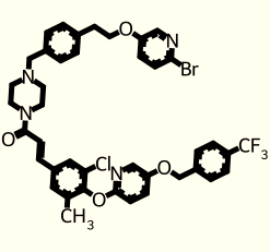 Cc1cc(/C=C/C(=O)N2CCN(Cc3ccc(CCOc4ccc(Br)nc4)cc3)CC2)cc(Cl)c1Oc1ccc(OCc2ccc(C(F)(F)F)cc2)cn1